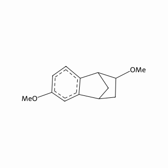 COc1ccc2c(c1)C1CC(OC)C2C1